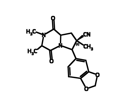 CC1C(=O)N2C(C[C@@](C)(C#N)C2c2ccc3c(c2)OCO3)C(=O)N1C